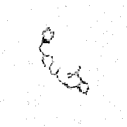 O=C(CC=Cc1ccccc1[N+](=O)[O-])CN1CCN(Cc2ccsc2)CC1